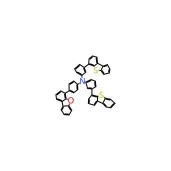 c1cc(-c2cccc3c2sc2ccccc23)cc(N(c2ccc(-c3cccc4c3oc3ccccc34)cc2)c2cccc(-c3cccc4c3sc3ccccc34)c2)c1